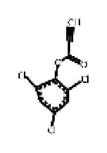 C#CC(=O)Oc1c(Cl)cc(Cl)cc1Cl